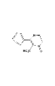 O=C(O)C1=C(c2ccccc2)N=CCC1=O